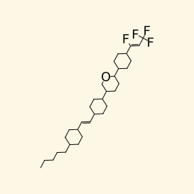 CCCCCC1CCC(/C=C/C2CCC(C3CCC(C4CCC(/C(F)=C/C(F)(F)F)CC4)OC3)CC2)CC1